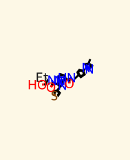 CC[C@@H](CO)NC(=O)c1c(-c2ccsc2)nc2c(C(=O)NCc3ccc(-n4cc(C)cn4)cc3)cccn12